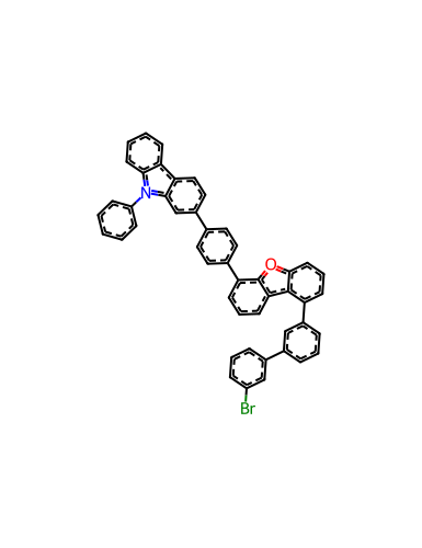 Brc1cccc(-c2cccc(-c3cccc4oc5c(-c6ccc(-c7ccc8c9ccccc9n(-c9ccccc9)c8c7)cc6)cccc5c34)c2)c1